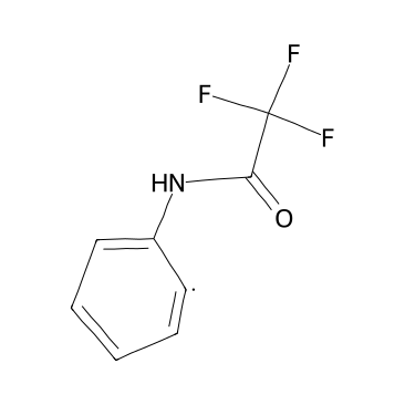 O=C(Nc1[c]cccc1)C(F)(F)F